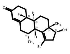 CCC1=C2[C@H]3[C@H](CC[C@]2(C)[C@@H](O)C1)[C@H]1CCC(=O)C=C1C[C@H]3C